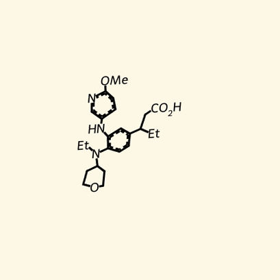 CCC(CC(=O)O)c1ccc(N(CC)C2CCOCC2)c(Nc2ccc(OC)nc2)c1